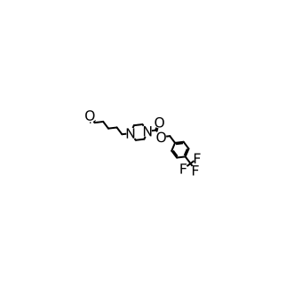 O=[C]CCCCN1CCN(C(=O)OCc2ccc(C(F)(F)F)cc2)CC1